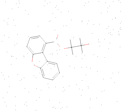 CC(C)(O)C(C)(C)OB(O)c1cccc2oc3ccccc3c12